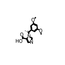 COc1cc(OC)cc([C@@H](C)n2cncc2C(=O)O)c1